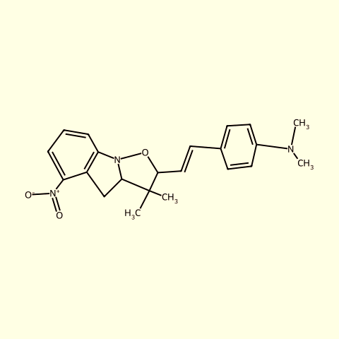 CN(C)c1ccc(C=CC2ON3c4cccc([N+](=O)[O-])c4CC3C2(C)C)cc1